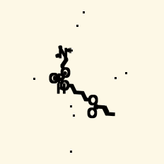 CC=CC(=O)OCCCCO[PH](=O)OCC[N+](C)(C)C